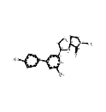 Cc1ccc(-c2cc(C)nc([C@H]3CC[C@@]4(CCN(C)C4=O)N3)c2)cc1